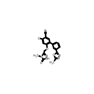 Cc1nnc(-c2cccc(-c3cc(C#N)c(Cl)cc3OCc3n[nH]c(=O)n3C)c2)o1